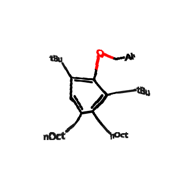 CCCCCCCCc1cc(C(C)(C)C)c([O][Al])c(C(C)(C)C)c1CCCCCCCC